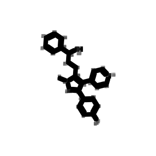 Cn1nc(-c2ccc(F)cc2)c(-c2ccncc2)c1CCC(O)c1ccccc1